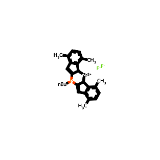 CCCCP1C2=Cc3c(C)ccc(C)c3[CH]2[Zr+2][CH]2C1=Cc1c(C)ccc(C)c12.[F-].[F-]